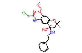 COCOc1cc2c(cc1NC(=O)CCl)[C@@](O)(NCCc1ccccc1)CC(C)(C)O2